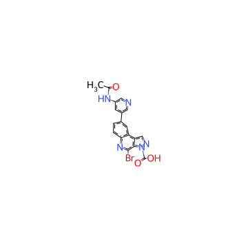 CC(=O)Nc1cncc(-c2ccc3nc(Br)c4c(cnn4C(=O)O)c3c2)c1